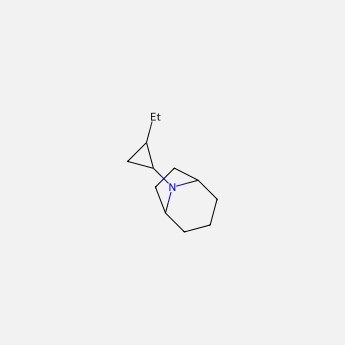 CCC1CC1N1C2CCCC1CC2